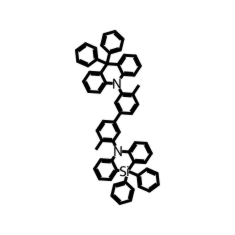 Cc1ccc(-c2ccc(C)c(N3c4ccccc4[Si](c4ccccc4)(c4ccccc4)c4ccccc43)c2)cc1N1c2ccccc2C(c2ccccc2)(c2ccccc2)c2ccccc21